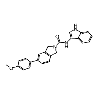 COc1ccc(-c2ccc3c(c2)CN(C(=O)Nc2c[nH]c4ccccc24)C3)cc1